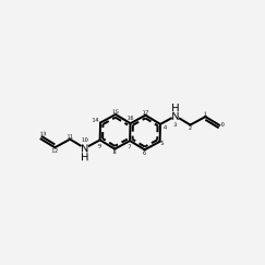 C=CCNc1ccc2cc(NCC=C)ccc2c1